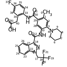 Cc1cc(N2CCCCC2)c(NC(=O)c2nn(CC(F)(F)F)c3ccccc23)cc1C(=O)Nc1ccc(F)cc1CC(=O)O